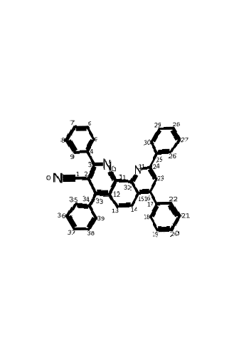 N#Cc1c(-c2ccccc2)nc2c(ccc3c(-c4ccccc4)cc(-c4ccccc4)nc32)c1-c1ccccc1